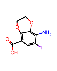 Nc1c(I)cc(C(=O)O)c2c1OCCO2